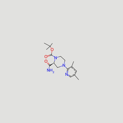 Cc1cnc(N2CCN(C(=O)OC(C)(C)C)[C@H](C(N)=O)C2)c(C)c1